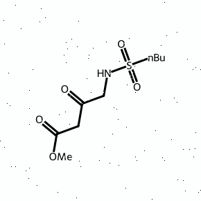 CCCCS(=O)(=O)NCC(=O)CC(=O)OC